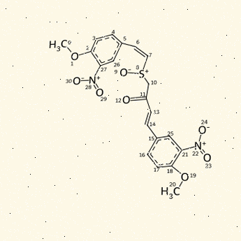 COc1ccc(/C=C\[S+]([O-])CC(=O)/C=C/c2ccc(OC)c([N+](=O)[O-])c2)cc1[N+](=O)[O-]